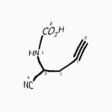 C#CCC(C#N)NC(=O)O